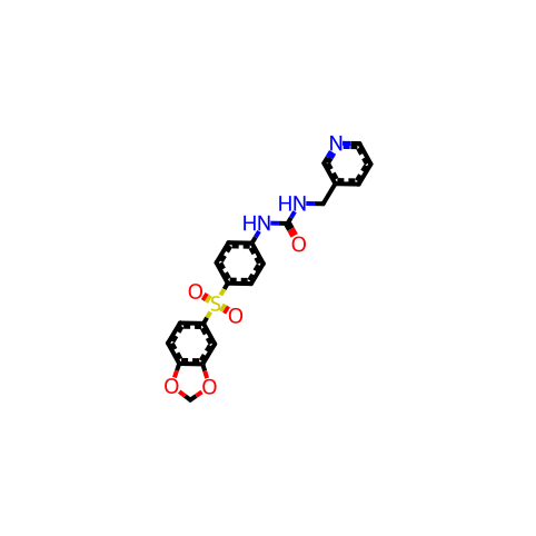 O=C(NCc1cccnc1)Nc1ccc(S(=O)(=O)c2ccc3c(c2)OCO3)cc1